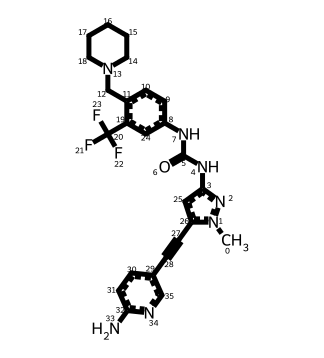 Cn1nc(NC(=O)Nc2ccc(CN3CCCCC3)c(C(F)(F)F)c2)cc1C#Cc1ccc(N)nc1